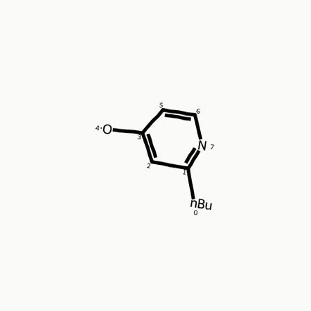 CCCCc1cc([O])ccn1